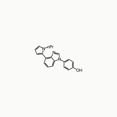 CCCn1cccc1-c1cccc2c1ncn2-c1ccc(O)cc1